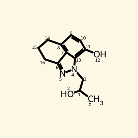 CC(O)Cn1nc2c3c(ccc(O)c31)CCC2